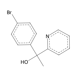 CC(O)(c1ccc(Br)cc1)c1ccccn1